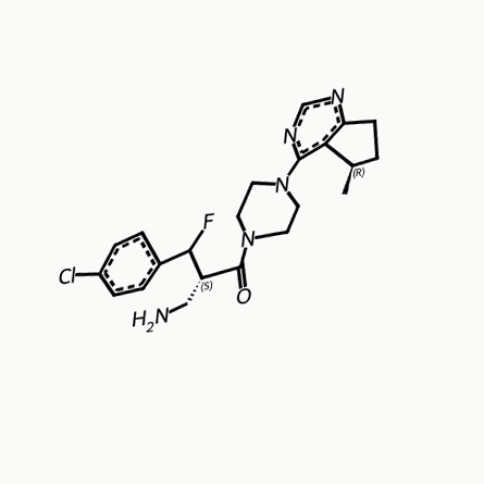 C[C@@H]1CCc2ncnc(N3CCN(C(=O)[C@H](CN)C(F)c4ccc(Cl)cc4)CC3)c21